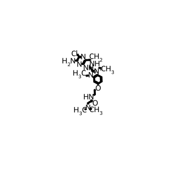 C=C(NCc1n(CC)c2cc(OCCNC(=O)CN(C)C)ccc2[n+]1CC)c1nc(Cl)c(N)nc1N